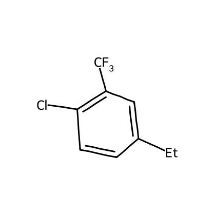 [CH2]Cc1ccc(Cl)c(C(F)(F)F)c1